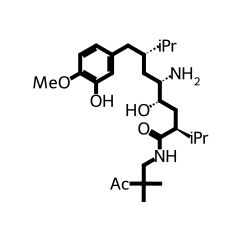 COc1ccc(C[C@@H](C[C@H](N)[C@@H](O)C[C@H](C(=O)NCC(C)(C)C(C)=O)C(C)C)C(C)C)cc1O